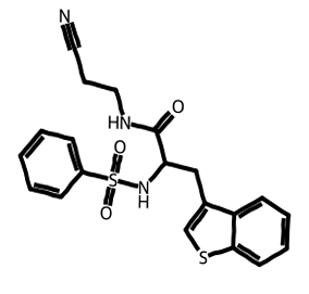 N#CCCNC(=O)C(Cc1csc2ccccc12)NS(=O)(=O)c1ccccc1